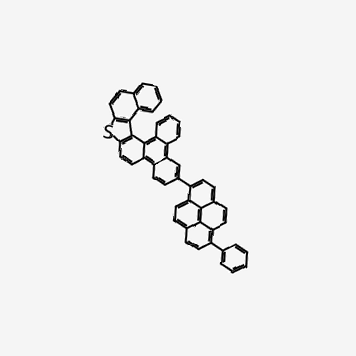 c1ccc(-c2ccc3ccc4c(-c5ccc6c(c5)c5ccccc5c5c6ccc6sc7ccc8ccccc8c7c65)ccc5ccc2c3c54)cc1